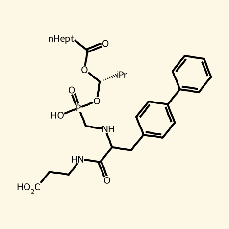 CCCCCCCC(=O)O[C@@H](OP(=O)(O)CNC(Cc1ccc(-c2ccccc2)cc1)C(=O)NCCC(=O)O)C(C)C